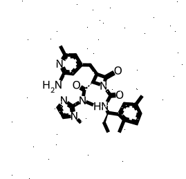 CC[C@@H](NC(=O)N1C(=O)C(Cc2cc(C)nc(N)c2)[C@H]1C(=O)N(C)c1nccn1C)c1cc(C)ccc1C